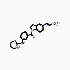 O=C(O)/C=C/c1ccc2c(c1)CCN2C(=O)c1cccc(NC2=NCCCN2)c1